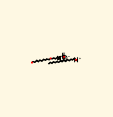 CCCCCCCCCCCCCCCC[N+](C)(C)C.CCCCCCCCCCCCCCCC[N+](C)(C)C.[O-]B([O-])F